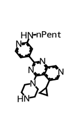 CCCCCNc1cc(-c2nc(N3CCNCC3)c3c(C4CC4)cncc3n2)ccn1